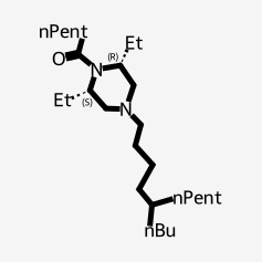 CCCCCC(=O)N1[C@H](CC)CN(CCCCC(CCCC)CCCCC)C[C@@H]1CC